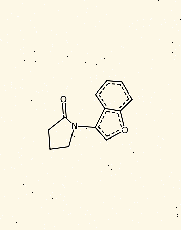 O=C1CCCN1c1coc2ccccc12